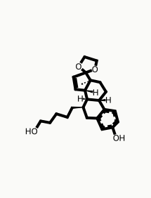 C[C@]12CC[C@@H]3c4ccc(O)cc4C[C@@H](CCCCCO)[C@H]3[C@@H]1C=CC21OCCO1